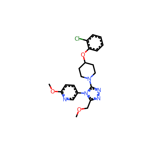 COCc1nnc(N2CCC(Oc3ccccc3Cl)CC2)n1-c1ccc(OC)nc1